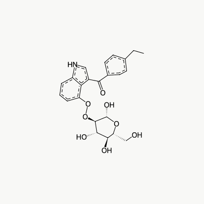 CCc1ccc(C(=O)c2c[nH]c3cccc(OO[C@@H]4[C@@H](O)[C@H](O)[C@@H](CO)O[C@H]4O)c23)cc1